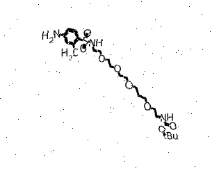 Cc1cc(N)ccc1S(=O)(=O)NCCOCCOCCOCCCOCCNC(=O)OC(C)(C)C